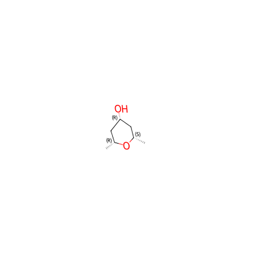 C[C@@H]1C[C@H](O)C[C@H](C)O1